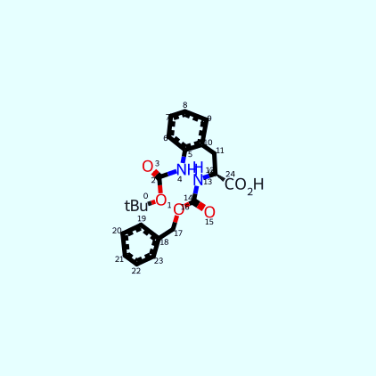 CC(C)(C)OC(=O)Nc1ccccc1C[C@H](NC(=O)OCc1ccccc1)C(=O)O